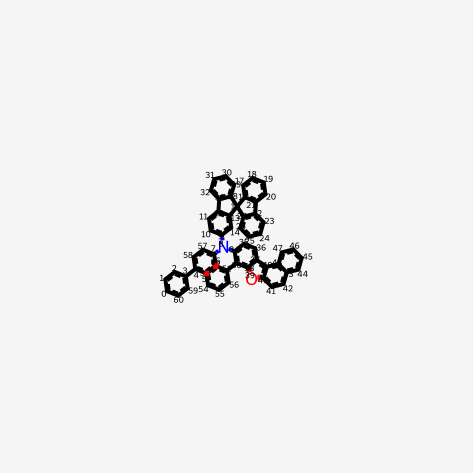 c1ccc(-c2ccc(N(c3ccc4c(c3)C3(c5ccccc5-c5ccccc53)c3ccccc3-4)c3ccc4c(oc5ccc6ccccc6c54)c3-c3ccccc3)cc2)cc1